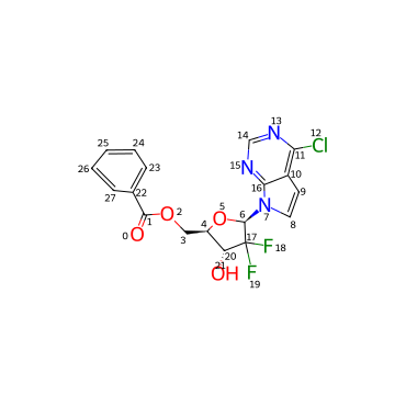 O=C(OC[C@H]1O[C@@H](n2ccc3c(Cl)ncnc32)C(F)(F)[C@@H]1O)c1ccccc1